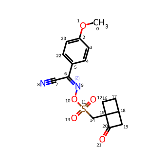 COc1ccc(/C(C#N)=N/OS(=O)(=O)CC23CCC2CC3=O)cc1